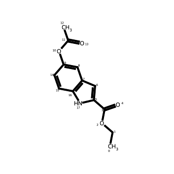 CCOC(=O)c1cc2cc(OC(C)=O)ccc2[nH]1